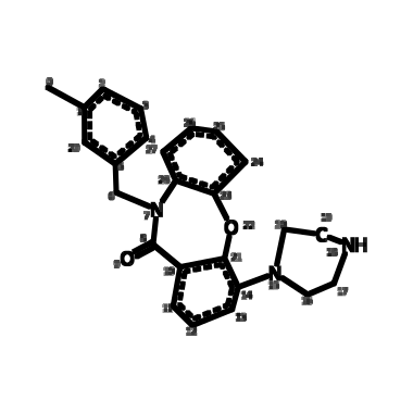 Cc1cccc(CN2C(=O)c3cccc(N4CCNCC4)c3Oc3ccccc32)c1